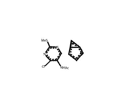 CSc1ncc(NC(C)=O)c(Cl)n1.c1cc2cc-2c1